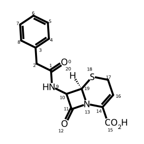 O=C(Cc1ccccc1)NC1C(=O)N2C(C(=O)O)=CCS[C@H]12